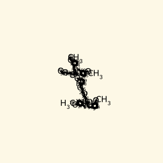 COc1cccc(CN(Cc2cccc(OC)c2)C(=O)OCCOCCOc2cccc(OCC(OCCOC=O)N(Cc3cccc(OC)c3)Cc3cccc(OC)c3)n2)c1